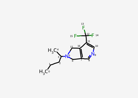 CCCC(C)N1Cc2cncc(C(F)(F)F)c2C1